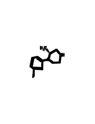 C[C@@H]1CNCCN1c1cccc(F)c1